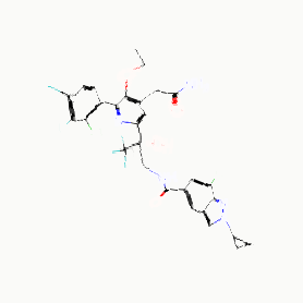 CCOc1c(CC(N)=O)cc([C@@](O)(CNC(=O)c2cc(Cl)c3nn(C4CC4)cc3c2)C(F)(F)F)nc1-c1ccc(F)c(F)c1Cl